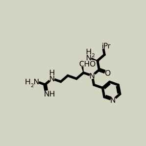 CC(C)C[C@H](N)C(=O)N(Cc1cccnc1)[C@H](C=O)CCCNC(=N)N